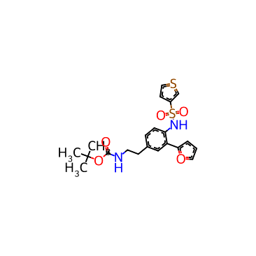 CC(C)(C)OC(=O)NCCc1ccc(NS(=O)(=O)c2ccsc2)c(-c2ccco2)c1